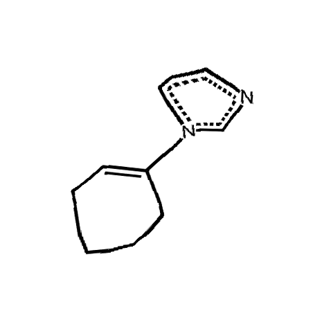 C1=C(n2ccnc2)CCCC1